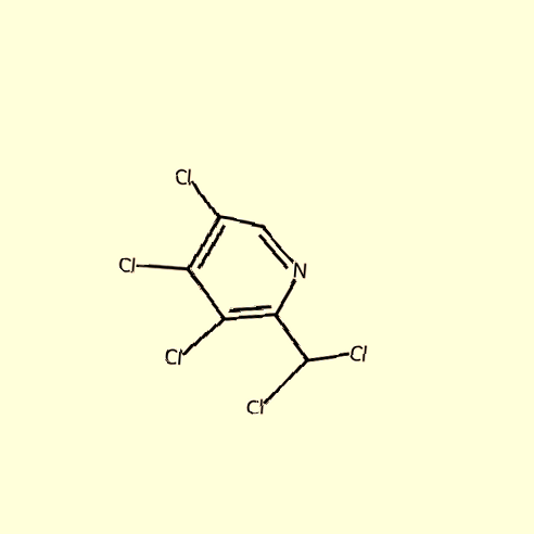 Clc1cnc(C(Cl)Cl)c(Cl)c1Cl